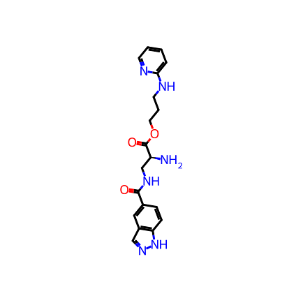 N[C@@H](CNC(=O)c1ccc2[nH]ncc2c1)C(=O)OCCCNc1ccccn1